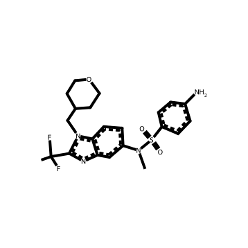 CN(c1ccc2c(c1)nc(C(C)(F)F)n2CC1CCOCC1)S(=O)(=O)c1ccc(N)cc1